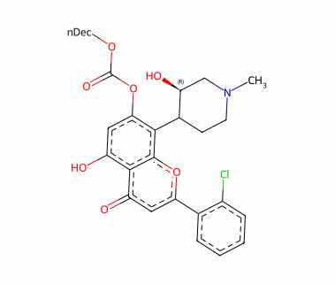 CCCCCCCCCCOC(=O)Oc1cc(O)c2c(=O)cc(-c3ccccc3Cl)oc2c1C1CCN(C)C[C@@H]1O